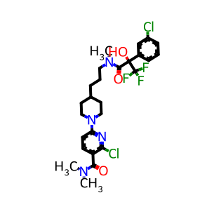 CN(C)C(=O)c1ccc(N2CCC(CCCN(C)C(=O)C(O)(c3cccc(Cl)c3)C(F)(F)F)CC2)nc1Cl